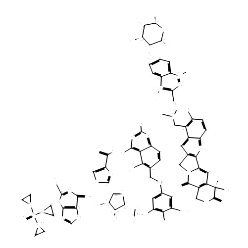 CC[C@@]1(O)C(=O)OCc2c1cc1n(c2=O)Cc2cc3c(CN(C)C)c(O)ccc3nc2-1.COc1cc(NCc2ccc3nc(N)nc(N)c3c2C)cc(OC)c1OC.NC(=O)c1csc([C@@H]2O[C@H](CO)[C@@H](O)[C@H]2O)n1.Nc1n[n+]([O-])c2ccccc2[n+]1[O-].Nc1nc(=S)c2[nH]cnc2[nH]1.O=C(O)[C@H]1O[C@@H](O)[C@H](O)[C@@H](O)[C@@H]1O.S=P(N1CC1)(N1CC1)N1CC1